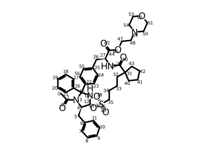 CC(=O)N1[C@H](Cc2ccccc2)C(=O)NC1(c1ccccc1)c1ccc(C[C@H](NC(=O)C2(CCCCS(C)(=O)=O)CCCC2)C(=O)OCCN2CCOCC2)cc1